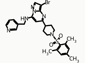 Cc1cc(C)c(S(=O)(=O)N2CCC(c3cc(NCc4cccnc4)n4ncc(Br)c4n3)CC2)c(C)c1